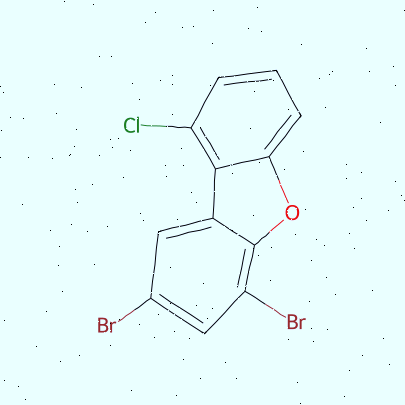 Clc1cccc2oc3c(Br)cc(Br)cc3c12